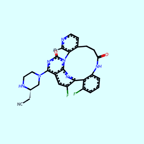 CC(C)c1nccc2c1-n1c(=O)nc(N3CCN[C@@H](CC#N)C3)c3cc(F)c(nc31)-c1c(F)cccc1NC(=O)CC2